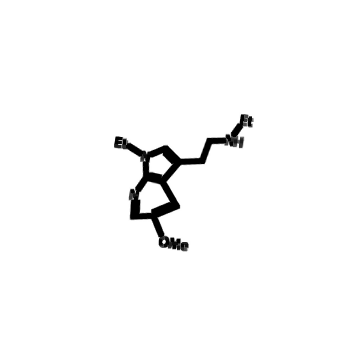 CCNCCc1cn(CC)c2ncc(OC)cc12